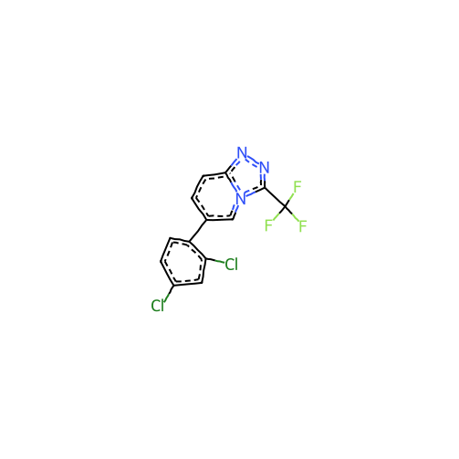 FC(F)(F)c1nnc2ccc(-c3ccc(Cl)cc3Cl)cn12